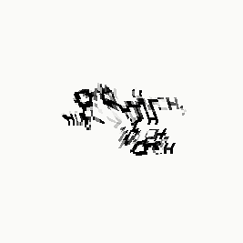 CCNC(=O)c1cc(-c2cn(-c3cccc(C(=O)O)c3C)nn2)nc(-c2cn(-c3cccc(C(=O)O)c3C)nn2)c1